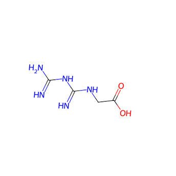 N=C(N)NC(=N)NCC(=O)O